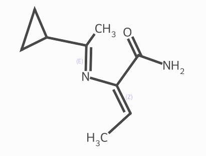 C/C=C(\N=C(/C)C1CC1)C(N)=O